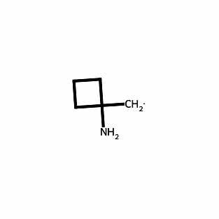 [CH2]C1(N)CCC1